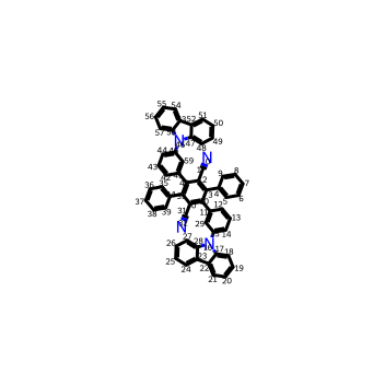 N#Cc1c(-c2ccccc2)c(-c2cccc(-n3c4ccccc4c4ccccc43)c2)c(C#N)c(-c2ccccc2)c1-c1cccc(-n2c3ccccc3c3ccccc32)c1